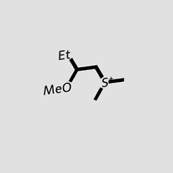 CCC(C[S+](C)C)OC